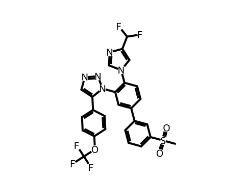 CS(=O)(=O)c1cccc(-c2ccc(-n3cnc(C(F)F)c3)c(-n3nncc3-c3ccc(OC(F)(F)F)cc3)c2)c1